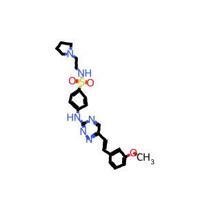 COc1cccc(C=Cc2cnc(Nc3ccc(S(=O)(=O)NCCN4CCCC4)cc3)nn2)c1